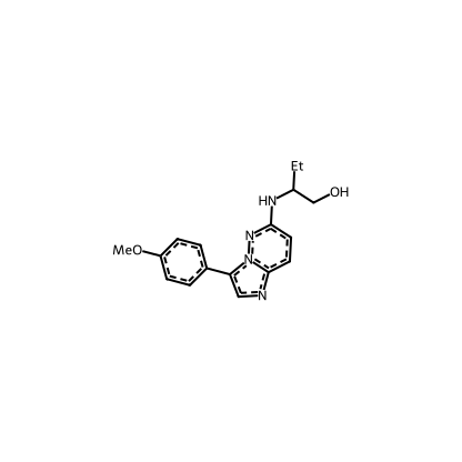 CCC(CO)Nc1ccc2ncc(-c3ccc(OC)cc3)n2n1